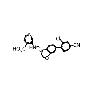 N#Cc1ccc(-c2ccc3c(c2)OCC[C@@H]3CNc2cnccc2C(=O)O)c(Cl)c1